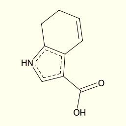 O=C(O)c1c[nH]c2c1C=CCC2